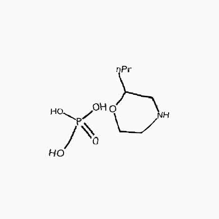 CCCC1CNCCO1.O=P(O)(O)O